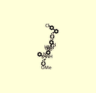 COC1CCN(CC[C@H](CSc2ccccc2)Nc2ccc(S(=O)(=O)Nc3ncnc4cc(N5CCN(Cc6ccccc6-c6ccc(Cl)cc6)CC5)ccc34)cc2[N+](=O)[O-])CC1